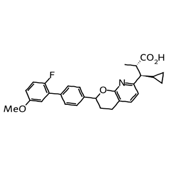 COc1ccc(F)c(-c2ccc(C3CCc4ccc([C@H](C5CC5)[C@H](C)C(=O)O)nc4O3)cc2)c1